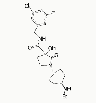 CCN[C@H]1CC[C@H](N2CCC(O)(C(=O)NCc3cc(F)cc(Cl)c3)C2=O)CC1